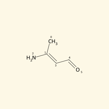 C/C(N)=C\C=O